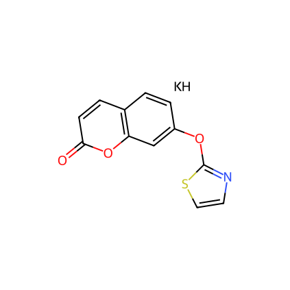 O=c1ccc2ccc(Oc3nccs3)cc2o1.[KH]